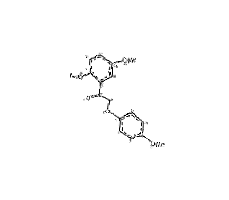 COc1ccc(OCC(=O)c2cc(OC)ccc2OC)cc1